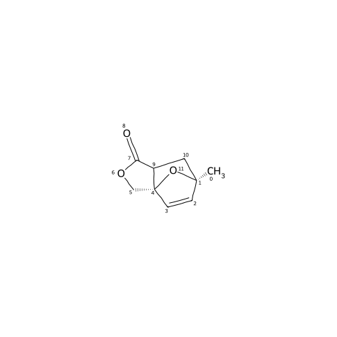 C[C@@]12C=C[C@]3(COC(=O)C3C1)O2